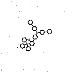 c1ccc(-c2ccc(N(c3ccc(-c4ccccc4)cc3)c3ccc(-c4cccc5c4Sc4ccccc4C5(c4ccccc4)c4ccccc4)cc3)cc2)cc1